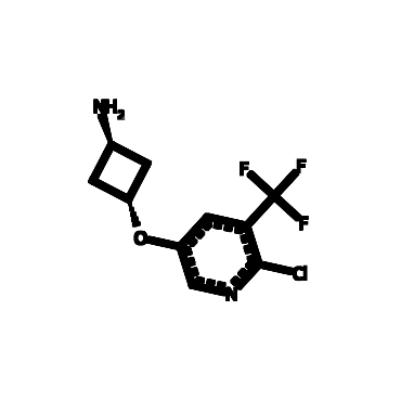 N[C@H]1C[C@H](Oc2cnc(Cl)c(C(F)(F)F)c2)C1